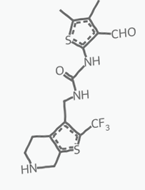 Cc1sc(NC(=O)NCc2c(C(F)(F)F)sc3c2CCNC3)c(C=O)c1C